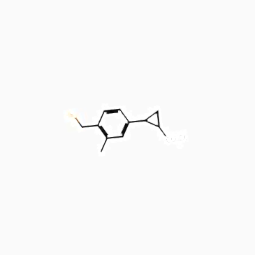 CCOC(=O)C1CC1c1ccc(CBr)c(C)c1